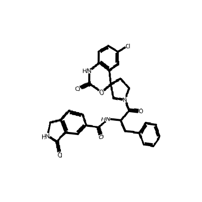 O=C1Nc2ccc(Cl)cc2C2(CCN(C(=O)C(Cc3ccccc3)NC(=O)c3ccc4c(c3)C(=O)NC4)C2)O1